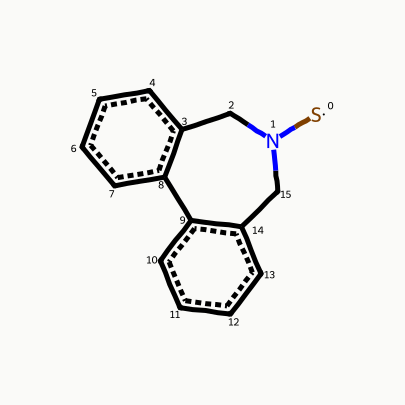 [S]N1Cc2ccccc2-c2ccccc2C1